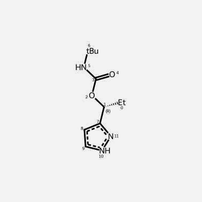 CC[C@@H](OC(=O)NC(C)(C)C)c1cc[nH]n1